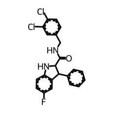 O=C(NCc1ccc(Cl)c(Cl)c1)C1Nc2ccc(F)cc2C1c1ccccc1